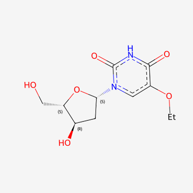 CCOc1cn([C@@H]2C[C@@H](O)[C@H](CO)O2)c(=O)[nH]c1=O